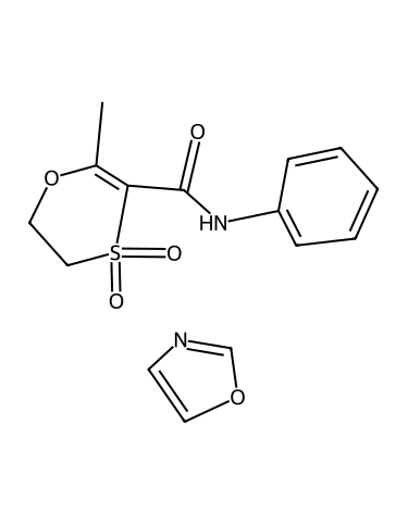 CC1=C(C(=O)Nc2ccccc2)S(=O)(=O)CCO1.c1cocn1